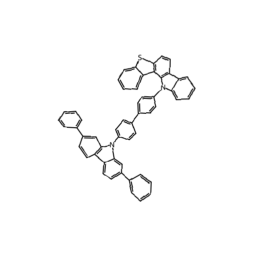 c1ccc(-c2ccc3c4ccc(-c5ccccc5)cc4n(-c4ccc(-c5ccc(-n6c7ccccc7c7ccc8sc9ccccc9c8c76)cc5)cc4)c3c2)cc1